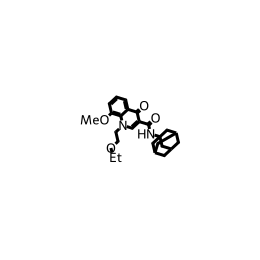 CCOCCn1cc(C(=O)NC23CC4CC(CC(C4)C2)C3)c(=O)c2cccc(O[11CH3])c21